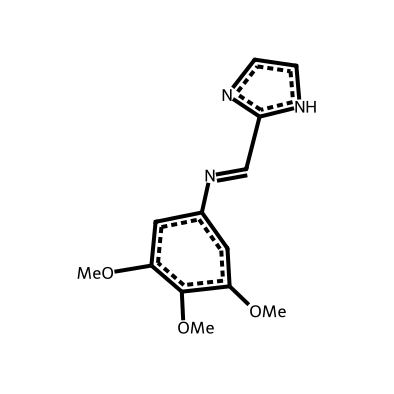 COc1cc(N=Cc2ncc[nH]2)cc(OC)c1OC